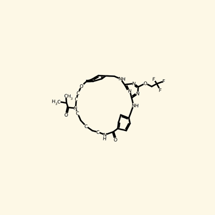 CC(C)C(=O)N1CCCCCNC(=O)c2ccc(cc2)Nc2nc(nc(OCC(F)(F)F)n2)NCc2ccc(cc2)OCC1